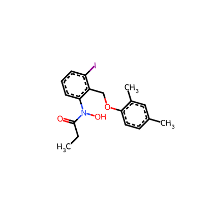 CCC(=O)N(O)c1cccc(I)c1COc1ccc(C)cc1C